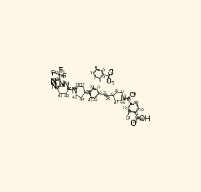 COC(=O)c1ccccc1.Cc1cc(C(=O)N2CCC(C#Cc3ccc(C4CCN(C5=Nn6c(nnc6C(F)(F)F)CC5)CC4)cc3)CC2)ccc1C(=O)O